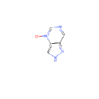 [O-][n+]1cncc2n[nH]cc21